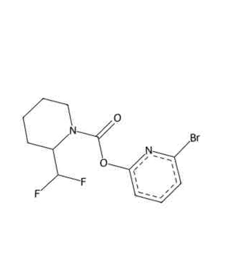 O=C(Oc1cccc(Br)n1)N1CCCCC1C(F)F